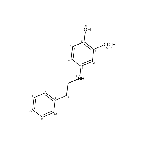 O=C(O)c1cc(NCCc2ccccc2)ccc1O